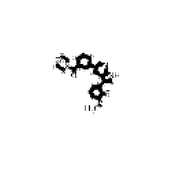 COc1cccc(-c2c[nH]c3ncc(-c4cccc(C(=O)N5CCOCC5)c4)cc23)c1F